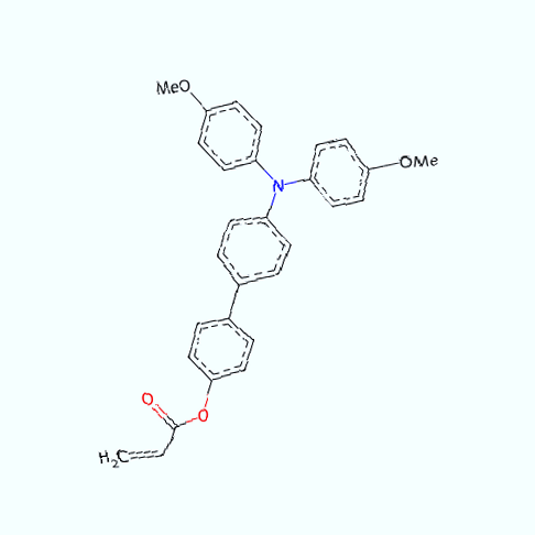 C=CC(=O)Oc1ccc(-c2ccc(N(c3ccc(OC)cc3)c3ccc(OC)cc3)cc2)cc1